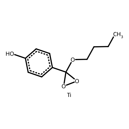 CCCCOC1(c2ccc(O)cc2)OO1.[Ti]